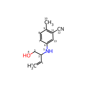 C=CC(CO)Nc1ccc(C)c(C#N)c1